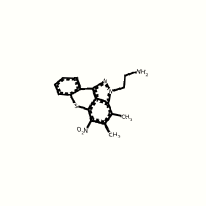 Cc1c([N+](=O)[O-])c2c3c(nn(CCN)c3c1C)-c1ccccc1S2